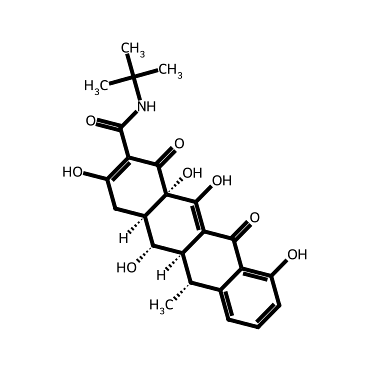 C[C@H]1c2cccc(O)c2C(=O)C2=C(O)[C@]3(O)C(=O)C(C(=O)NC(C)(C)C)=C(O)C[C@@H]3[C@@H](O)[C@@H]21